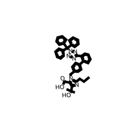 CCCc1nc(C(C)(C)O)c(C(=O)O)n1Cc1ccc(-c2ccccc2-c2nnn(C(c3ccccc3)(c3ccccc3)c3ccccc3)n2)cc1